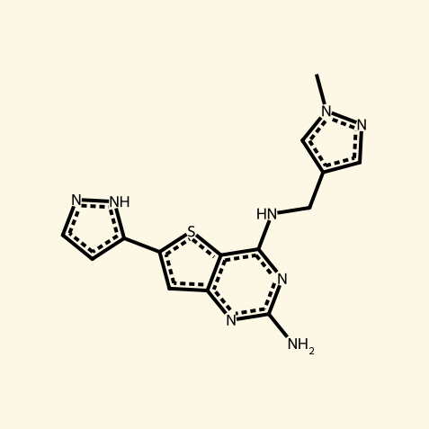 Cn1cc(CNc2nc(N)nc3cc(-c4ccn[nH]4)sc23)cn1